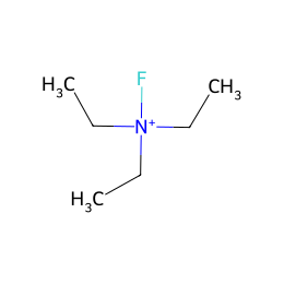 CC[N+](F)(CC)CC